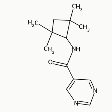 CC1(C)CC(C)(C)C1NC(=O)c1cncnc1